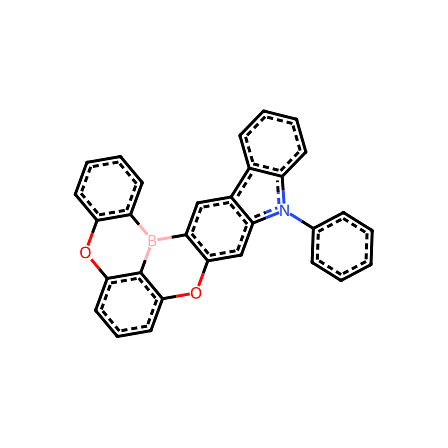 c1ccc(-n2c3ccccc3c3cc4c(cc32)Oc2cccc3c2B4c2ccccc2O3)cc1